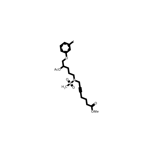 COC(=O)CCCC#CCN(CCCC(COc1cccc(I)c1)OC(C)=O)S(C)(=O)=O